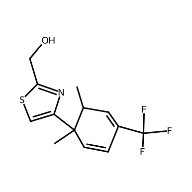 CC1C=C(C(F)(F)F)C=CC1(C)c1csc(CO)n1